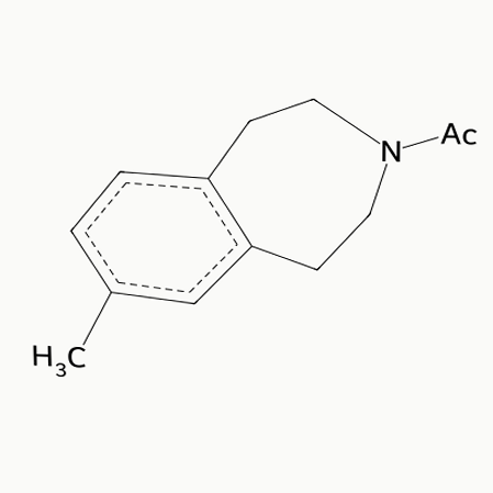 CC(=O)N1CCc2ccc(C)cc2CC1